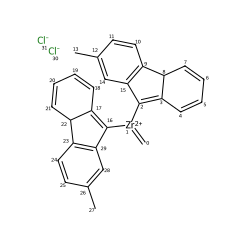 [CH2]=[Zr+2]([C]1=C2C=CC=CC2c2ccc(C)cc21)[C]1=C2C=CC=CC2c2ccc(C)cc21.[Cl-].[Cl-]